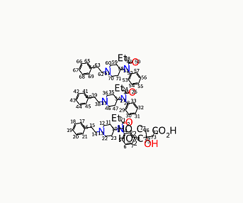 CCC(=O)N(c1ccccc1)C1CCN(CCc2ccccc2)CC1.CCC(=O)N(c1ccccc1)C1CCN(CCc2ccccc2)CC1.CCC(=O)N(c1ccccc1)C1CCN(CCc2ccccc2)CC1.O=C(O)CC(O)(CC(=O)O)C(=O)O